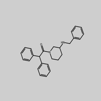 O=C(C(c1ccccc1)c1ccccc1)N1CCCC(NCc2ccccc2)C1